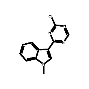 Cn1cc(-c2ncnc(Cl)n2)c2ccccc21